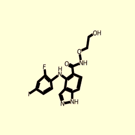 O=C(NOCCO)c1ccc2[nH]ncc2c1Nc1ccc(I)cc1F